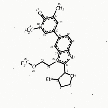 CCC1CCOC1c1nc2ccc(-c3cc(C)c(=O)n(C)c3)cc2n1CCOC(F)(F)F